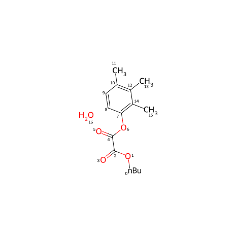 CCCCOC(=O)C(=O)Oc1ccc(C)c(C)c1C.O